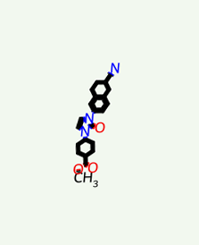 COC(=O)C1CCC(n2ccn(-c3ccc4c(c3)CCC(C#N)C4)c2=O)CC1